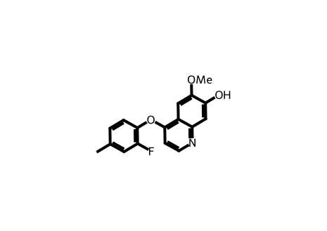 COc1cc2c(Oc3ccc(C)cc3F)ccnc2cc1O